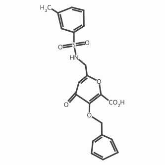 Cc1cccc(S(=O)(=O)NCc2cc(=O)c(OCc3ccccc3)c(C(=O)O)o2)c1